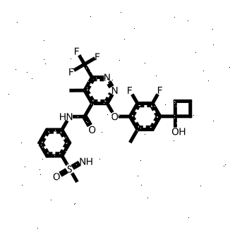 Cc1cc(C2(O)CCC2)c(F)c(F)c1Oc1nnc(C(F)(F)F)c(C)c1C(=O)Nc1cccc(S(C)(=N)=O)c1